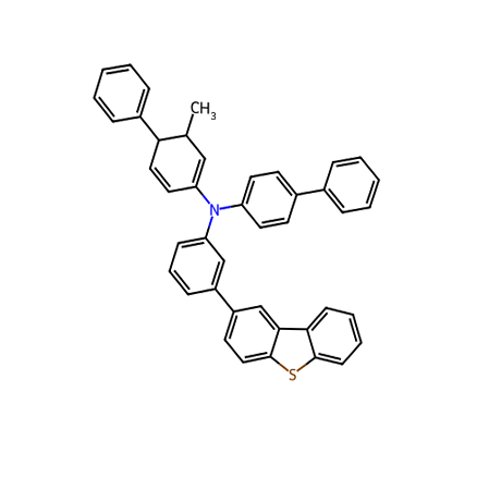 CC1C=C(N(c2ccc(-c3ccccc3)cc2)c2cccc(-c3ccc4sc5ccccc5c4c3)c2)C=CC1c1ccccc1